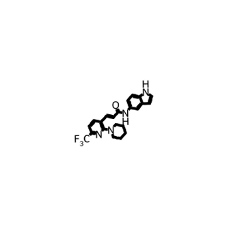 O=C(/C=C/c1ccc(C(F)(F)F)nc1N1CCCCC1)Nc1ccc2[nH]ccc2c1